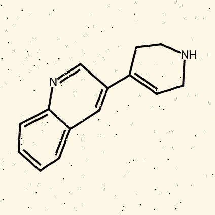 C1=C(c2cnc3ccccc3c2)CCNC1